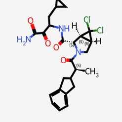 C[C@H](C(=O)N1C[C@H]2[C@@H]([C@H]1C(=O)NC(CC1CC1)C(=O)C(N)=O)C2(Cl)Cl)C1Cc2ccccc2C1